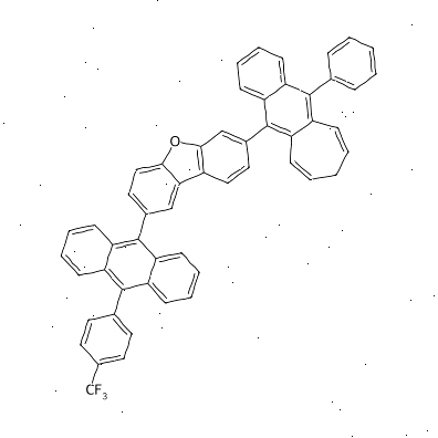 FC(F)(F)c1ccc(-c2c3ccccc3c(-c3ccc4oc5cc(-c6c7c(c(-c8ccccc8)c8ccccc68)C=CCC=C7)ccc5c4c3)c3ccccc23)cc1